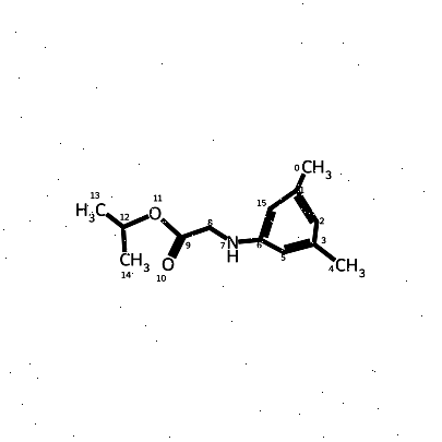 Cc1cc(C)cc(NCC(=O)OC(C)C)c1